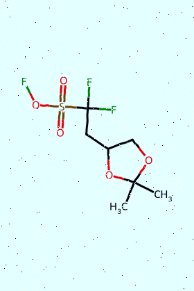 CC1(C)OCC(CC(F)(F)S(=O)(=O)OF)O1